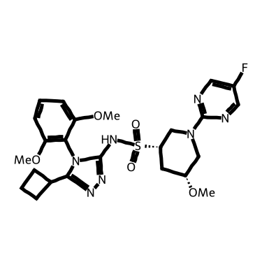 COc1cccc(OC)c1-n1c(NS(=O)(=O)[C@H]2C[C@@H](OC)CN(c3ncc(F)cn3)C2)nnc1C1CCC1